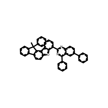 CC1(c2ccccc2)c2ccccc2-c2ccc3oc4c(-c5nc(-c6ccccc6)c6cc(-c7ccccc7)ccc6n5)cccc4c3c21